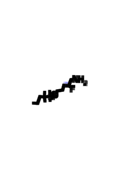 CCCC(C)(C)[Si](C)(C)OCC/C=C(\F)CN